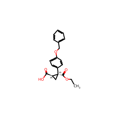 CCOC(=O)[C@]1(c2ccc(OCc3ccccc3)cc2)C[C@H]1C(=O)O